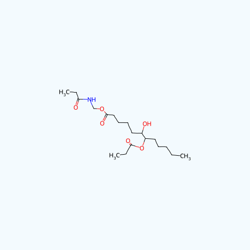 CCCCCC(OC(=O)CC)C(O)CCCCC(=O)OCNC(=O)CC